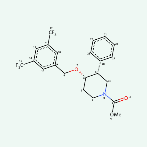 COC(=O)N1CC[C@H](OCc2cc(C(F)(F)F)cc(C(F)(F)F)c2)[C@H](c2ccccc2)C1